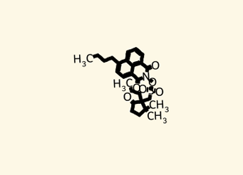 CCCCc1ccc2c3c(cccc13)C(=O)N(OS(=O)(=O)CC1(CCC)C(=O)CCC1(C)C)C2=O